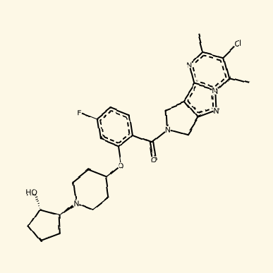 Cc1nc2c3c(nn2c(C)c1Cl)CN(C(=O)c1ccc(F)cc1OC1CCN([C@H]2CCC[C@@H]2O)CC1)C3